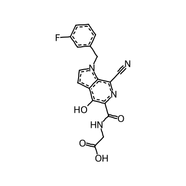 N#Cc1nc(C(=O)NCC(=O)O)c(O)c2ccn(Cc3cccc(F)c3)c12